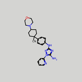 N#CC1(c2ccc(Nc3nc(N)n(-c4ccccn4)n3)cc2)CCC(N2CCOCC2)CC1